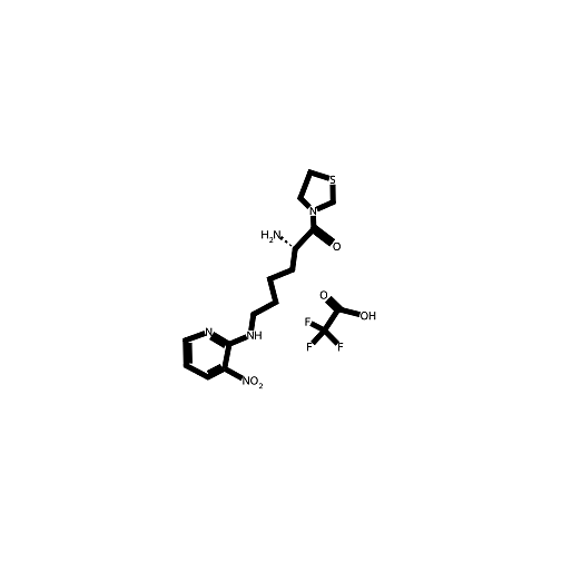 N[C@@H](CCCCNc1ncccc1[N+](=O)[O-])C(=O)N1CCSC1.O=C(O)C(F)(F)F